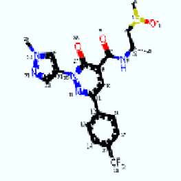 C[C@@H](C[S+](C)[O-])NC(=O)c1cc(-c2ccc(C(F)(F)F)cc2)nn(-c2cnn(C)c2)c1=O